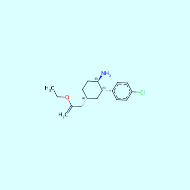 C=C(C[C@@H]1CC[C@@H](N)[C@H](c2ccc(Cl)cc2)C1)OCC